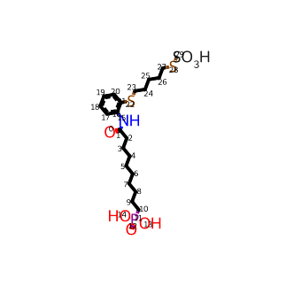 O=C(CCCCCCCCCP(=O)(O)O)Nc1ccccc1SCCCCCSS(=O)(=O)O